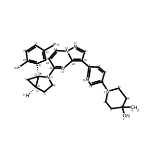 CC1(O)CCN(c2ccc(-c3cnn4ccc(N5CC[C@H]6C[C@]65c5cc(F)ccc5F)nc34)nc2)CC1